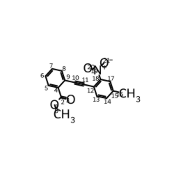 COC(=O)c1ccccc1C#Cc1ccc(C)cc1[N+](=O)[O-]